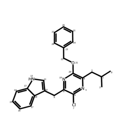 CC(C)Cc1nc(Cl)c(Cc2c[nH]c3ccccc23)nc1OCc1ccccc1